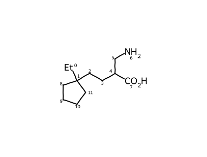 CCC1(CCC(CN)C(=O)O)CCCC1